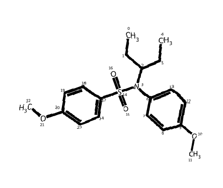 CCC(CC)N(c1ccc(OC)cc1)S(=O)(=O)c1ccc(OC)cc1